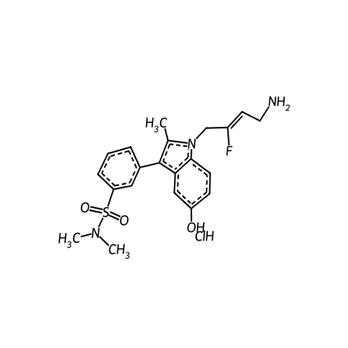 Cc1c(-c2cccc(S(=O)(=O)N(C)C)c2)c2cc(O)ccc2n1CC(F)=CCN.Cl